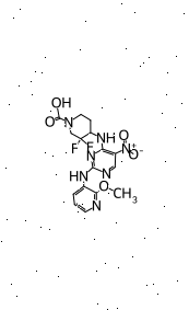 COc1ncccc1Nc1ncc([N+](=O)[O-])c(NC2CCN(C(=O)O)CC2(F)F)n1